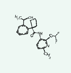 C=C(C)c1ccccc1C1(C(=O)Nc2ccc(C)nc2OC(F)F)CCC1